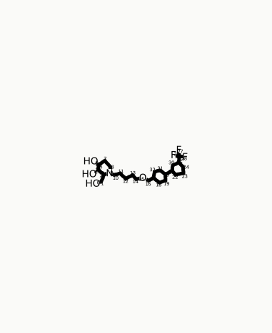 OCC1[C@H](O)[C@H](O)CCN1CCCCCOCC1CCC(C2CCCC(C(F)(F)F)C2)CC1